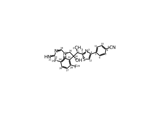 C[C@@H](c1nc(-c2ccc(C#N)cc2)cs1)C(O)(CN/C=N\C=N)c1cc(F)ccc1F